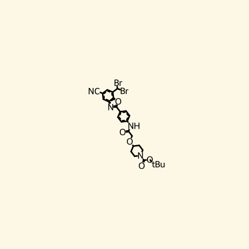 CC(C)(C)OC(=O)N1CCC(OCC(=O)Nc2ccc(-c3nc4cc(C#N)cc(C(Br)Br)c4o3)cc2)CC1